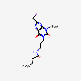 CCCCCn1c(=O)n(CCCNC(=O)CCC(=O)O)c(=O)c2[nH]c(CI)nc21